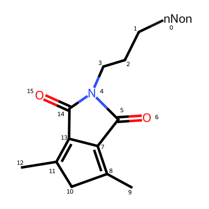 CCCCCCCCCCCCN1C(=O)C2=C(C)CC(C)=C2C1=O